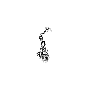 [2H]C([2H])([2H])NC(=O)c1nnccc1Nc1nc2ccc(N3CCC(OCCOC)C3)cn2n1